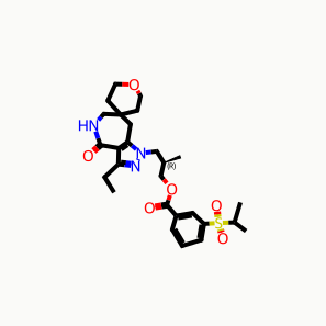 CCc1nn(C[C@@H](C)COC(=O)c2cccc(S(=O)(=O)C(C)C)c2)c2c1C(=O)NCC1(CCOCC1)C2